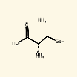 N.N[C@@H](C[SeH])C(=O)O